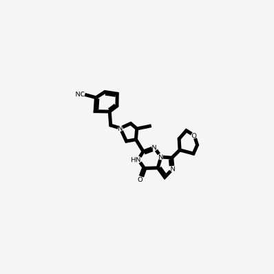 CC1CN(Cc2cccc(C#N)c2)CC1c1nn2c(C3CCOCC3)ncc2c(=O)[nH]1